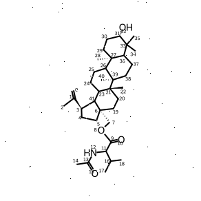 C=C(C)[C@@H]1CC[C@]2(COC(=O)C(NC(C)=O)C(C)C)CC[C@]3(C)C(CCC4[C@@]5(C)CC[C@H](O)C(C)(C)C5CC[C@]43C)C12